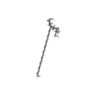 CCC(COCCOCCOCCOCCOCCOCCOCCOCCOCCOCCOCCOCCOCCOCCOCCOCCOCCOCCO)(COC(=O)NCC1(C)CC(N)CC(C)(C)C1)COC(=O)NCC1(C)CC(NC(=O)NCCCN)CC(C)(C)C1